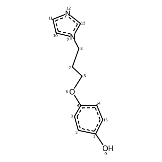 Oc1ccc(OCCCn2ccnc2)cc1